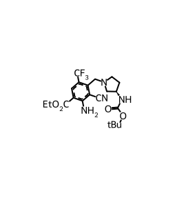 CCOC(=O)c1cc(C(F)(F)F)c(CN2CC[C@@H](NC(=O)OC(C)(C)C)C2)c(C#N)c1N